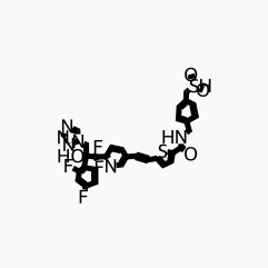 O=C(NCc1ccc(C[SH](=O)=O)cc1)c1ccc(C#Cc2ccc(C(F)(F)C(O)(Cn3cnnn3)c3ccc(F)cc3F)nc2)s1